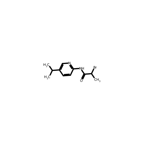 CC(Br)C(=O)Nc1ccc(C(C)C)cn1